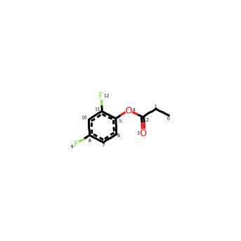 CCC(=O)Oc1ccc(F)cc1F